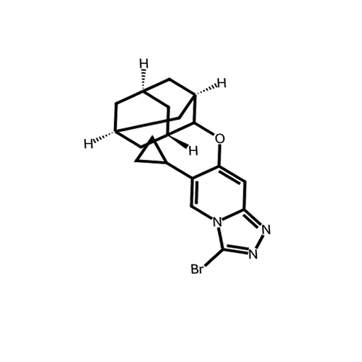 Brc1nnc2cc(OC3[C@H]4C[C@H]5C[C@H](C4)C[C@H]3C5)c(C3CC3)cn12